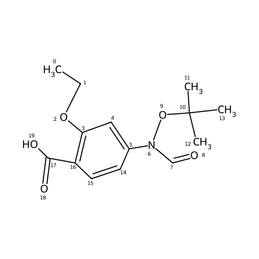 CCOc1cc(N(C=O)OC(C)(C)C)ccc1C(=O)O